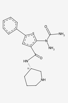 NC(=O)N(N)c1sc(-c2ccccc2)cc1C(=O)N[C@H]1CCCNC1